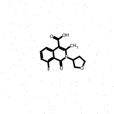 Cc1c(C(=O)O)c2cccc(F)c2c(=O)n1C1CCOC1